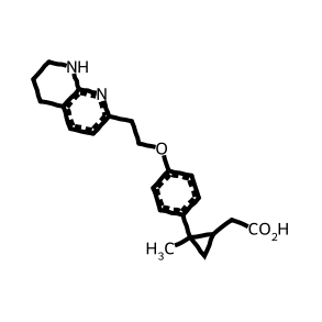 CC1(c2ccc(OCCc3ccc4c(n3)NCCC4)cc2)CC1CC(=O)O